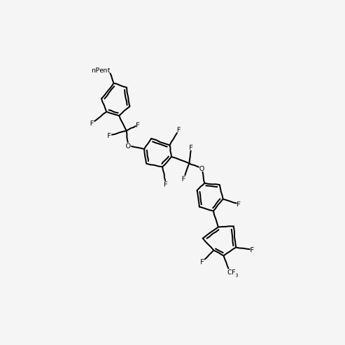 CCCCCc1ccc(C(F)(F)Oc2cc(F)c(C(F)(F)Oc3ccc(-c4cc(F)c(C(F)(F)F)c(F)c4)c(F)c3)c(F)c2)c(F)c1